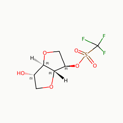 O=S(=O)(O[C@@H]1CO[C@H]2[C@H]1OC[C@@H]2O)C(F)(F)F